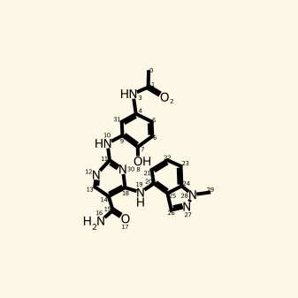 CC(=O)Nc1ccc(O)c(Nc2ncc(C(N)=O)c(Nc3cccc4c3cnn4C)n2)c1